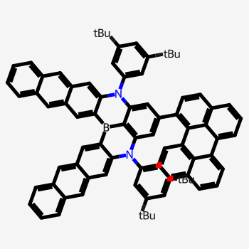 CC(C)(C)c1cc(N2c3cc4cc5ccccc5cc4cc3B3c4cc5cc6ccccc6cc5cc4N(c4cc(C(C)(C)C)cc(C(C)(C)C)c4)c4cc(-c5ccc6cccc7c8cccc9cccc(c5c67)c98)cc2c43)cc(C(C)(C)C)c1